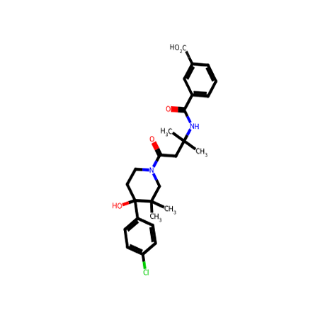 CC(C)(CC(=O)N1CCC(O)(c2ccc(Cl)cc2)C(C)(C)C1)NC(=O)c1cccc(C(=O)O)c1